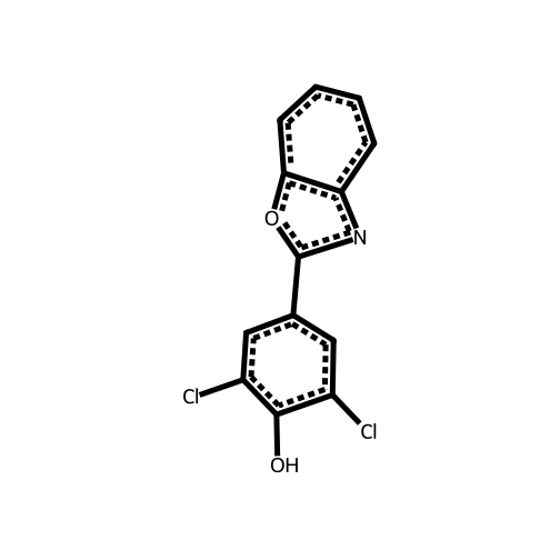 Oc1c(Cl)cc(-c2nc3ccccc3o2)cc1Cl